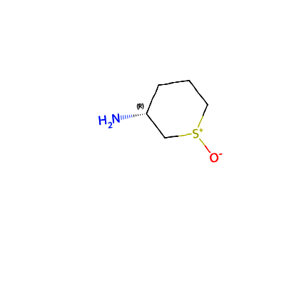 N[C@@H]1CCC[S+]([O-])C1